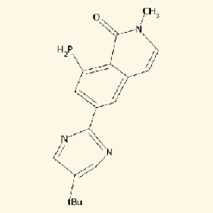 Cn1ccc2cc(-c3ncc(C(C)(C)C)cn3)cc(P)c2c1=O